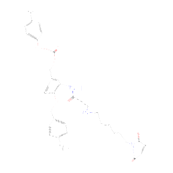 O=C(CNCCCCCCN1C(=O)C=CC1=O)Nc1cc(COC(=O)Oc2ccc([N+](=O)[O-])cc2)ccc1OCc1ccc([N+](=O)[O-])cc1